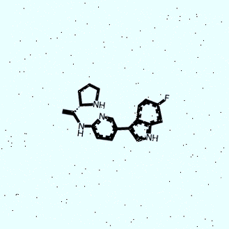 C=C(Nc1ccc(-c2c[nH]c3cc(F)ccc23)cn1)[C@@H]1CCCN1